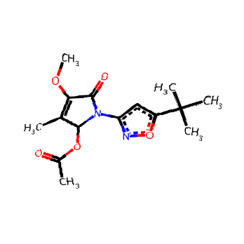 COC1=C(C)C(OC(C)=O)N(c2cc(C(C)(C)C)on2)C1=O